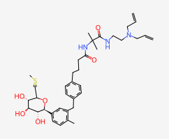 C=CCN(CC=C)CCNC(=O)C(C)(C)NC(=O)CCCc1ccc(Cc2cc([C@@H]3OC(C#SC)[C@@H](O)[C@H](O)[C@H]3O)ccc2C)cc1